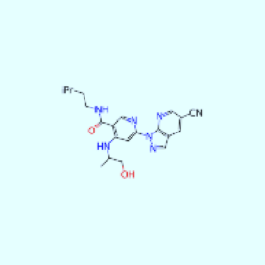 CC(C)CCNC(=O)c1cnc(-n2ncc3cc(C#N)cnc32)cc1NC(C)CO